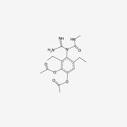 CCc1cc(OC(C)=O)c(OC(C)=O)c(CC)c1N(C(=N)N)C(=O)NC